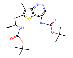 Cc1c(C[C@H](C)NC(=O)OC(C)(C)C)sc2c(NC(=O)OC(C)(C)C)cnnc12